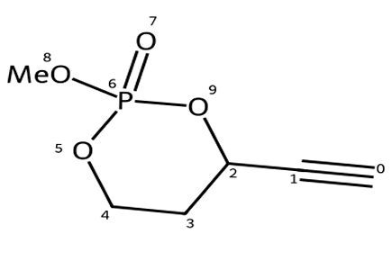 C#CC1CCOP(=O)(OC)O1